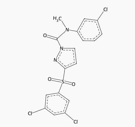 CN(C(=O)n1ccc(S(=O)(=O)c2cc(Cl)cc(Cl)c2)n1)c1cccc(Cl)c1